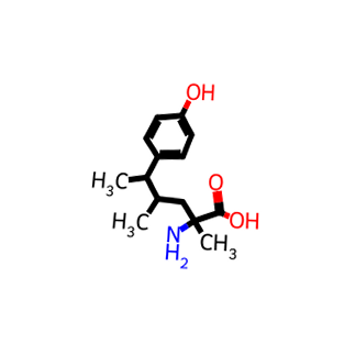 CC(CC(C)(N)C(=O)O)C(C)c1ccc(O)cc1